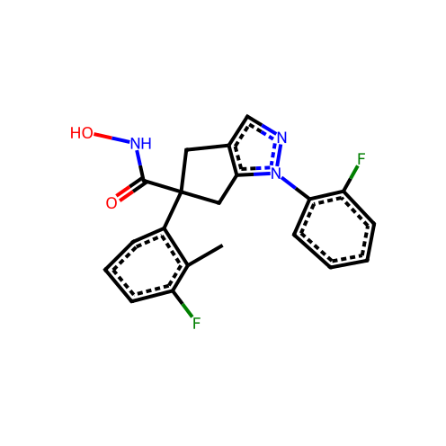 Cc1c(F)cccc1C1(C(=O)NO)Cc2cnn(-c3ccccc3F)c2C1